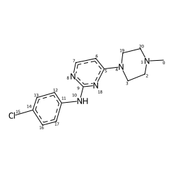 CN1CCN(c2ccnc(Nc3ccc(Cl)cc3)n2)CC1